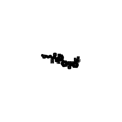 COCCCNC(=O)c1cnn2c(-c3cccc(NC(=O)c4cccc(C(F)(F)F)c4)c3)ccnc12